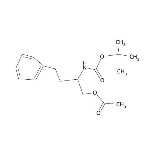 CC(=O)OCC(CCc1ccccc1)NC(=O)OC(C)(C)C